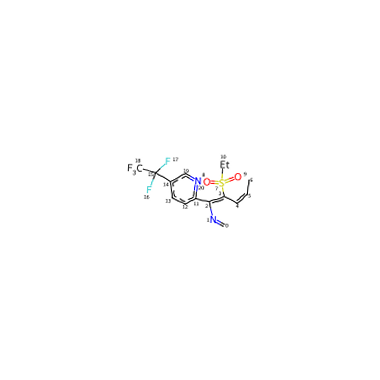 C=N/C(=C(\C=C/C)S(=O)(=O)CC)c1ccc(C(F)(F)C(F)(F)F)cn1